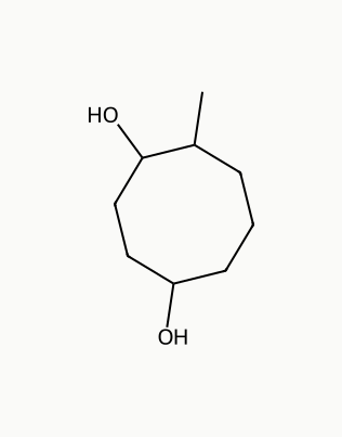 CC1CCCC(O)CCC1O